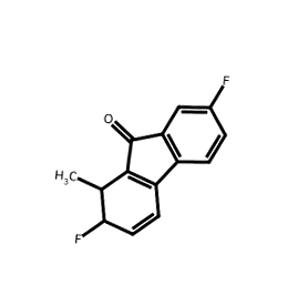 CC1C2=C(C=CC1F)c1ccc(F)cc1C2=O